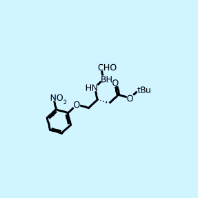 CC(C)(C)OC(=O)C[C@H](COc1ccccc1[N+](=O)[O-])NBC=O